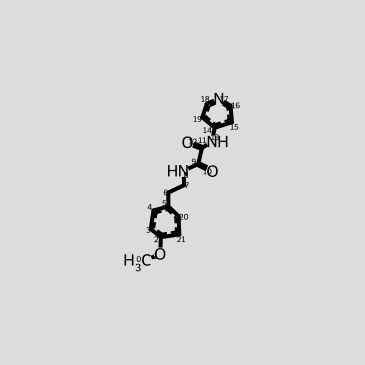 COc1ccc(CCNC(=O)C(=O)Nc2ccncc2)cc1